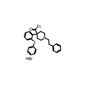 Br.CCC(=O)C1(c2ccccc2Sc2ccccc2)CCN(CCc2ccccc2)CC1